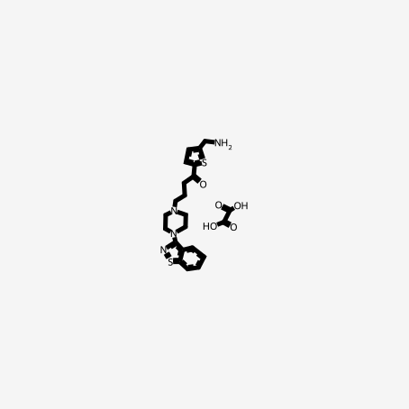 NCc1ccc(C(=O)CCCN2CCN(c3nsc4ccccc34)CC2)s1.O=C(O)C(=O)O